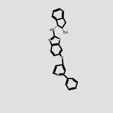 O[C@H]1Cc2ccccc2[C@H]1Nc1nc2ccc(Oc3ccnc(-c4cc[c]cc4)c3)cc2s1